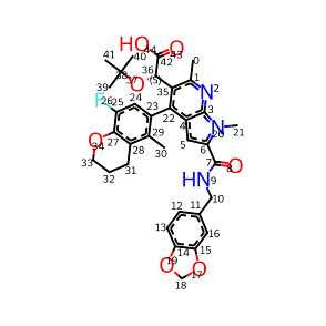 Cc1nc2c(cc(C(=O)NCc3ccc4c(c3)OCO4)n2C)c(-c2cc(F)c3c(c2C)CCCO3)c1[C@H](OC(C)(C)C)C(=O)O